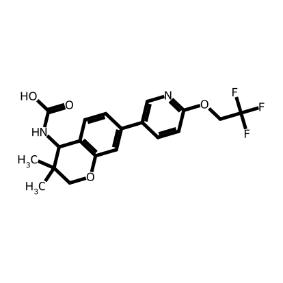 CC1(C)COc2cc(-c3ccc(OCC(F)(F)F)nc3)ccc2C1NC(=O)O